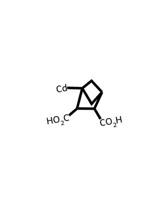 O=C(O)C1C2C[C]([Cd])(C2)C1C(=O)O